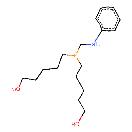 OCCCCCP(CCCCCO)CNc1ccccc1